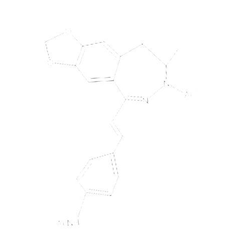 CC(=O)Nc1ccc(C=CC2=NN(C(C)=O)C(C)Cc3cc4c(cc32)OCO4)cc1